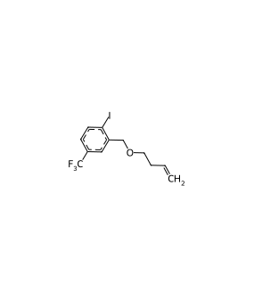 C=CCCOCc1cc(C(F)(F)F)ccc1I